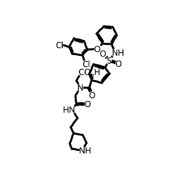 O=C(O)CN(CC(=O)NCCC1CCNCC1)C(=O)c1ccc(S(=O)(=O)Nc2ccccc2Oc2ccc(Cl)cc2Cl)cc1